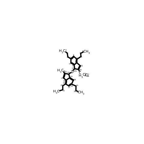 CCCc1cc(CCC)c2c(c1)[CH]([Zr+2][CH]1C(C)=Cc3c(CCC)cc(CCC)cc31)C(C)=C2.[Cl-].[Cl-]